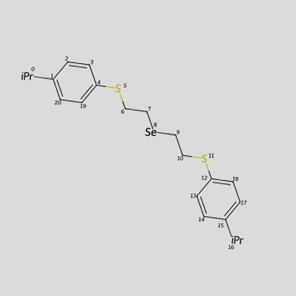 CC(C)c1ccc(SCC[Se]CCSc2ccc(C(C)C)cc2)cc1